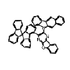 c1ccc2c(c1)-c1ccccc1C21c2ccccc2-c2c(-c3nc4oc5ccccc5c4nc3-n3c4ccccc4c4cc5ccccc5cc43)cccc21